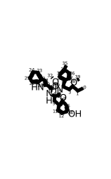 CCCCC(NC(=O)C(Cc1ccc(O)cc1)NC(=O)c1cc2ccccc2[nH]1)c1c(OC)cc(C)cc1OC